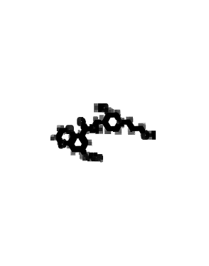 CNc1cc2c(c(C(=O)NC[C@@H]3CCN(CCCO)C[C@H]3O)c1)OCCO2